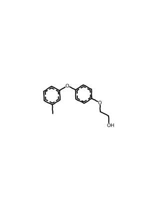 Cc1cccc(Oc2ccc(OCCO)cc2)c1